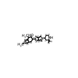 Cc1c(O)c(-c2nc3cn([C@@H]4CCNC5(CC5)C4)nc3s2)cc2cn(C)nc12